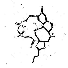 CCCC1O[C@@H]2C[C@H](C)[C@@H]3CCC4=CC(=O)C=C[C@]4(C)[C@H]3[C@@H](O)CC[C@]2(C(=O)COP(=O)(O)OP(=O)(O)OCCN)O1